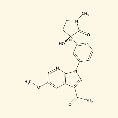 COc1cnc2c(c1)c(C(N)=O)nn2-c1cccc([C@]2(O)CCN(C)C2=O)c1